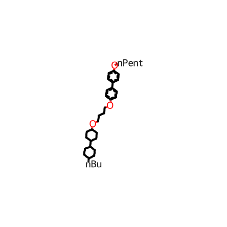 [CH2+][CH-]CCCOc1ccc(-c2ccc(OCCCCOC3CCC(C4CCC(CCCC)CC4)CC3)cc2)cc1